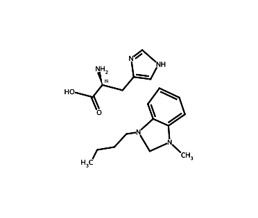 CCCCN1CN(C)c2ccccc21.N[C@@H](Cc1c[nH]cn1)C(=O)O